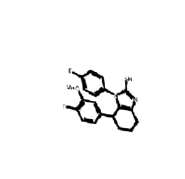 COc1cc(C2CCCc3nc(S)n(-c4ccc(F)cc4)c32)ccc1F